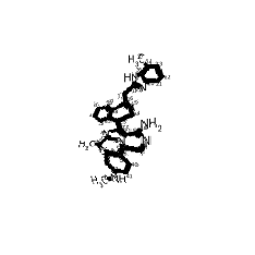 CNC1CC=C(c2cnc(N)c3c(-c4ccc(Cc5nc6cccc(C)c6[nH]5)c5ccccc45)nc(C(C)C)n23)CC1